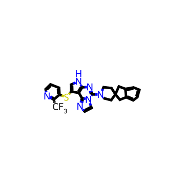 FC(F)(F)c1ncccc1Sc1c[nH]c2nc(N3CCC4(CC3)Cc3ccccc3C4)n3ccnc3c12